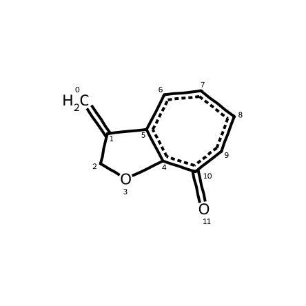 C=C1COc2c1ccccc2=O